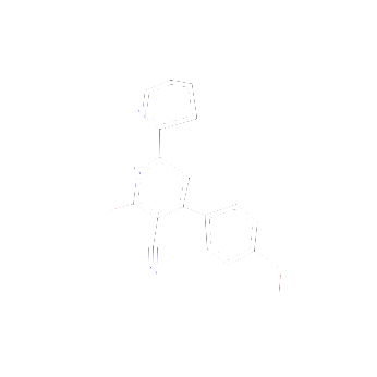 COc1ccc(-c2cc(-c3ccccn3)nc(OC)c2C#N)cc1